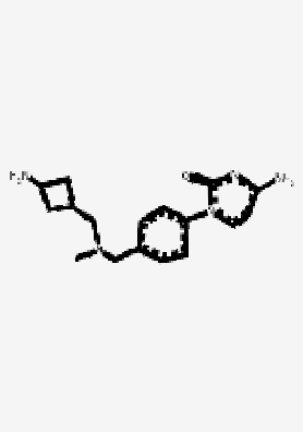 CN(Cc1ccc(-n2ccc(N)nc2=O)cc1)CC1CC(N)C1